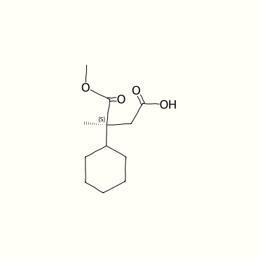 COC(=O)[C@@](C)(CC(=O)O)C1CCCCC1